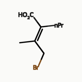 CCCC(C(=O)O)=C(C)CBr